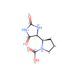 O=C1NC(=O)[C@H]([C@H]2CCCN2C(=O)O)N1